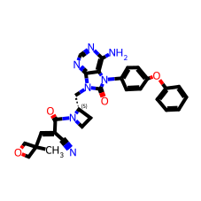 CC1(C=C(C#N)C(=O)N2CC[C@H]2Cn2c(=O)n(-c3ccc(Oc4ccccc4)cc3)c3c(N)ncnc32)COC1